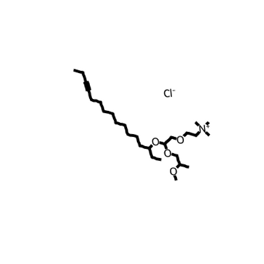 CCC#CCCCCCCCCCC(CC)OC(COCC[N+](C)(C)C)OCC(C)OC.[Cl-]